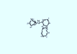 Oc1ccccc1.c1cnccn1.c1conn1